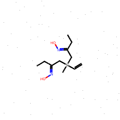 C=C[Si](C)(CC(CC)=NO)CC(CC)=NO